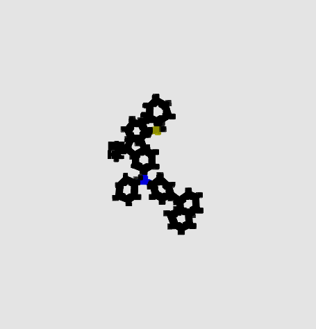 C[Si]1(C)c2cc(N(c3ccccc3)c3ccc(-c4cccc5ccccc45)cc3)ccc2-c2c1ccc1c2sc2ccccc21